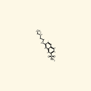 CCOCCOc1ccc2ccc(S(N)(=O)=O)cc2c1